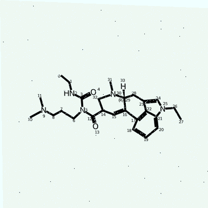 CCNC(=O)N(CCCN(C)C)C(=O)C1C=C2c3cccc4c3c(cn4CC)C[C@H]2N(C)C1